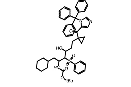 CC(C)(C)OC(=O)NC(CC1CCCCC1)C(C(O)CCC1(C(=O)c2cncn2C(c2ccccc2)(c2ccccc2)c2ccccc2)CC1)S(=O)(=O)c1ccccc1